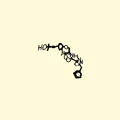 CN1C(=O)[C@@H](NC(=O)c2nnc(Cc3ccccc3)o2)COc2ccc(C#CC(C)(C)O)cc21